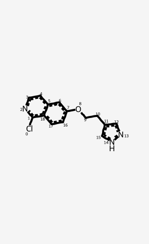 Clc1nccc2cc(OCCc3cn[nH]c3)ccc12